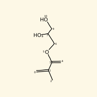 C=C(C)C(=C)OCC(O)CO